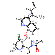 C=C/C(C)=C(\NC)c1cc(C)nc2c(OCc3c(Cl)cc(C)nc3C(C)NC(=O)C(C)C)cccc12